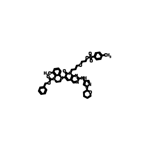 Cc1ccc(S(=O)(=O)OCCOCCCn2c(=O)c(N3CCN(C(=O)OCc4ccccc4)c4c(C)cccc43)cc3cnc(Nc4cnn(C5CCCCO5)c4)nc32)cc1